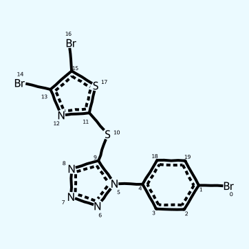 Brc1ccc(-n2nnnc2Sc2nc(Br)c(Br)s2)cc1